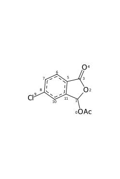 CC(=O)OC1OC(=O)c2ccc(Cl)cc21